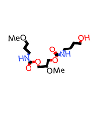 COCCCNC(=O)OCC(COC(=O)NCCCCO)OC